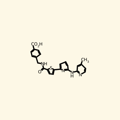 Cc1ccnc(Nc2cccc(-c3ccc(C(=O)NCc4ccc(C(=O)O)cc4)s3)n2)c1